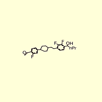 CCCC(O)c1ccc(CCC2CCC(c3ccc(C4CO4)c(F)c3)CC2)c(F)c1F